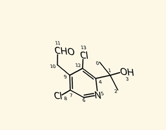 CC(C)(O)c1ncc(Cl)c(CC=O)c1Cl